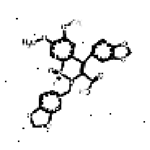 COc1cc2c(cc1OC)S(=O)(=O)N(Cc1ccc3c(c1)OCO3)C(C(=O)O)=C2c1ccc2c(c1)OCO2